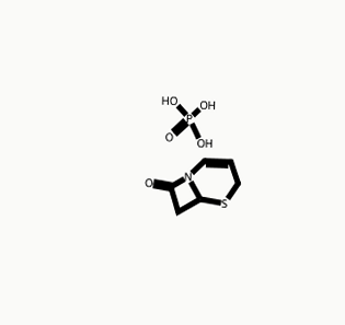 O=C1CC2SCC=CN12.O=P(O)(O)O